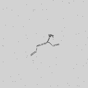 C=C/C=C(\C=C)C(C)C